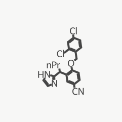 CCCC(c1ncc[nH]1)c1cc(C#N)ccc1OCc1ccc(Cl)cc1Cl